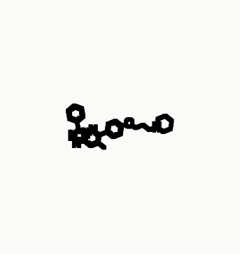 Cc1cc2nnc(-c3ccccc3)n2nc1-c1ccc(OCCCN2CCCCC2)cc1